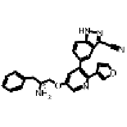 N#Cc1n[nH]c2ccc(-c3cc(OC[C@@H](N)Cc4ccccc4)cnc3-c3ccoc3)cc12